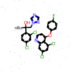 CCCCC(O)(Cn1cncn1)c1ccc(Cl)cc1Cl.Fc1ccc(Oc2ccnc3cc(Cl)cc(Cl)c23)cc1